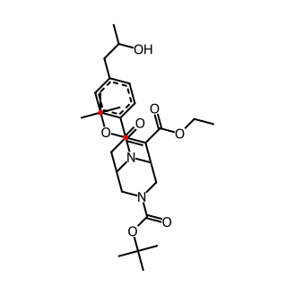 CCOC(=O)C1=C(c2ccc(CC(C)O)cc2)CC2CN(C(=O)OC(C)(C)C)CC1N2C(=O)OC(C)(C)C